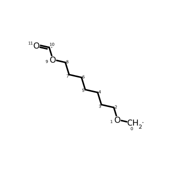 [CH2]OCCCCCCCO[C]=O